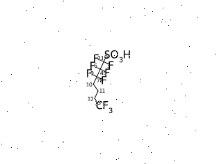 O=S(=O)(O)C(F)(F)C(F)(F)C(F)(F)CCCC(F)(F)F